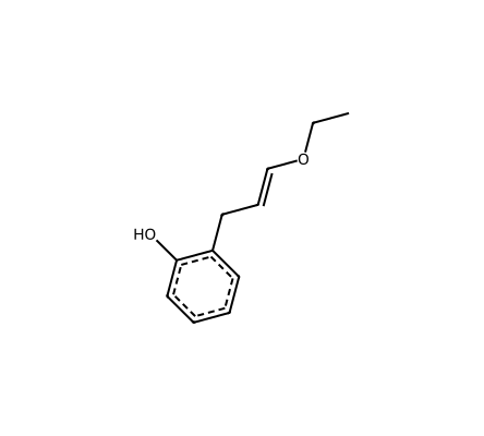 CCOC=CCc1ccccc1O